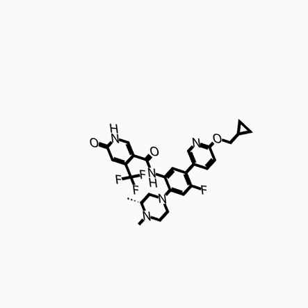 C[C@@H]1CN(c2cc(F)c(-c3ccc(OCC4CC4)nc3)cc2NC(=O)c2c[nH]c(=O)cc2C(F)(F)F)CCN1C